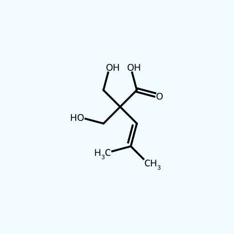 CC(C)=CC(CO)(CO)C(=O)O